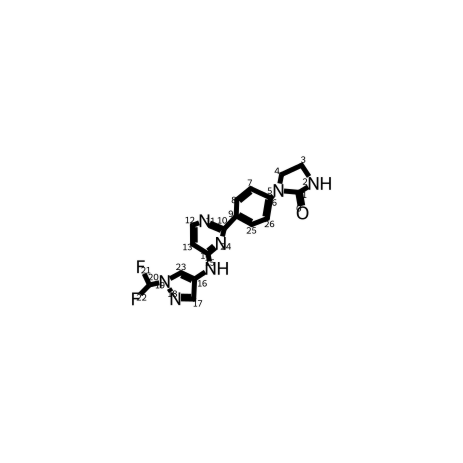 O=C1NCCN1c1ccc(-c2nccc(Nc3cnn(C(F)F)c3)n2)cc1